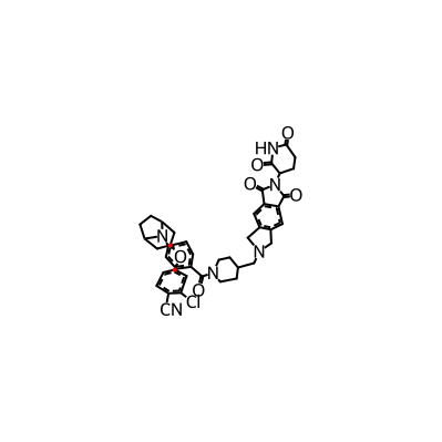 N#Cc1ccc(OC2CC3CCC(C2)N3c2ccc(C(=O)N3CCC(CN4Cc5cc6c(cc5C4)C(=O)N(C4CCC(=O)NC4=O)C6=O)CC3)cc2)cc1Cl